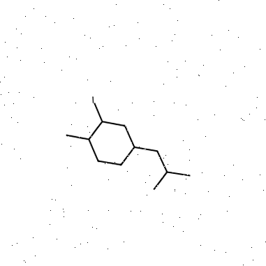 CC(C)CC1CCC(C)C(I)C1